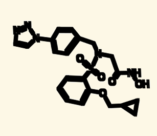 O=C(CN(Cc1ccc(-n2ccnn2)cc1)S(=O)(=O)c1ccccc1OCC1CC1)NO